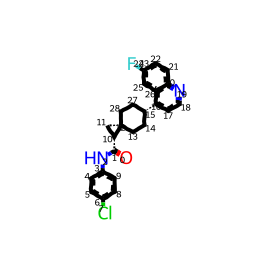 O=C(Nc1ccc(Cl)cc1)[C@@H]1C[C@]12CC[C@@H](c1ccnc3ccc(F)cc31)CC2